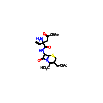 C=CC(N)(CC(=O)OC)C(=O)NC1C(=O)N2C(C(=O)O)=C(COC(C)=O)CSC12